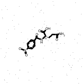 NC(=O)CC[C@H](NC(=O)c1ccc([N+](=O)[O-])cc1)C(=O)O